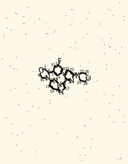 Fc1cccc(C2COCCN2c2ccc3ncc(-c4cccc(N5CCOCC5)n4)n3n2)c1